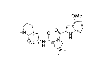 COc1cccc2[nH]c(C(=O)N3CS(C)(C)C[C@H]3C(=O)N[C@H](C#N)C[C@@H]3CCCNC3=O)cc12